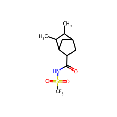 CC1C2CC(C(=O)NS(=O)(=O)C(F)(F)F)C(C2)C1C